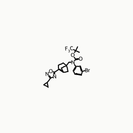 CC(C)(OC(=O)N(CC12CCC(c3nc(C4CC4)no3)=C(C1)C2)c1cccc(Br)c1)C(F)(F)F